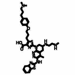 CNCCNC1Cc2c(nnc(NC3=NC4CC=CC=C4S3)c2C)N(c2nc(C(=O)O)c(CCCOc3ccc(CCCN(C)C)cc3)s2)C1